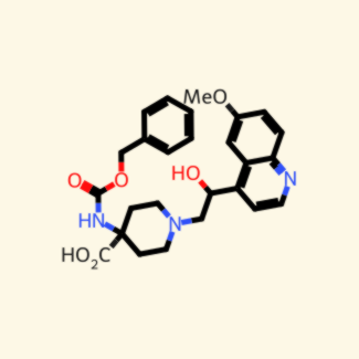 COc1ccc2nccc(C(O)CN3CCC(NC(=O)OCc4ccccc4)(C(=O)O)CC3)c2c1